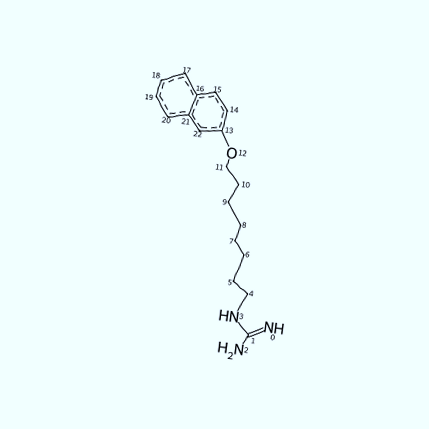 N=C(N)NCCCCCCCCOc1ccc2ccccc2c1